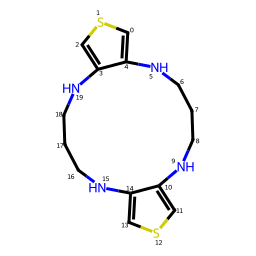 c1scc2c1NCCCNc1cscc1NCCCN2